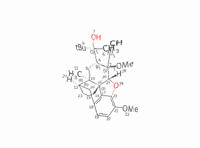 C#C[C@@]1(OC)[C@@H]([C@](C)(O)C(C)(C)C)C[C@]2(C)[C@@H]3CCC[C@@]24c2c(ccc(OC)c2O[C@@H]14)C3